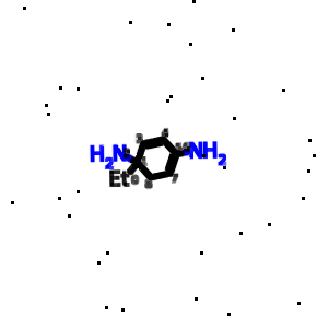 CCC1(N)C=CC(N)=CC1